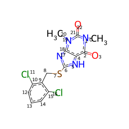 Cn1c(=O)c2[nH]c(SCc3c(Cl)cccc3Cl)nc2n(C)c1=O